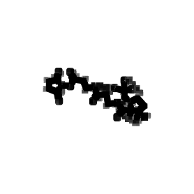 [2H]C1([2H])CCN(CC(C)(C)C)C1([2H])C(=O)NCCC(=O)NCCC(=O)ON1C(=O)CCC1=O